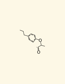 CCCc1ccc(OC(C)[C]=O)cc1